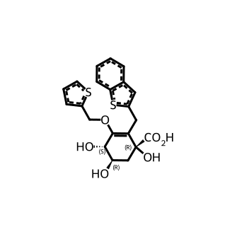 O=C(O)[C@@]1(O)C[C@@H](O)[C@H](O)C(OCc2cccs2)=C1Cc1cc2ccccc2s1